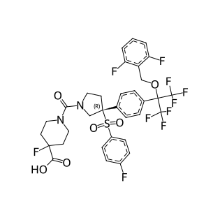 O=C(N1CCC(F)(C(=O)O)CC1)N1CC[C@](c2ccc(C(OCc3c(F)cccc3F)(C(F)(F)F)C(F)(F)F)cc2)(S(=O)(=O)c2ccc(F)cc2)C1